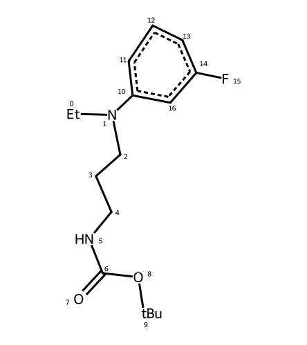 CCN(CCCNC(=O)OC(C)(C)C)c1cccc(F)c1